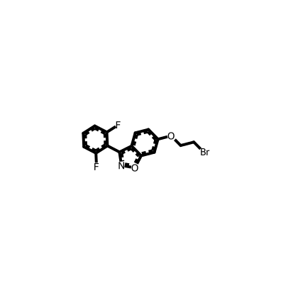 Fc1cccc(F)c1-c1noc2cc(OCCBr)ccc12